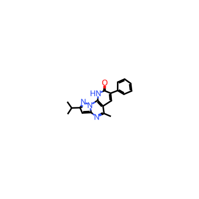 Cc1nc2cc(C(C)C)nn2c2[nH]c(=O)c(-c3ccccc3)cc12